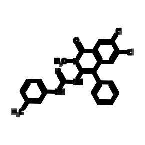 Cc1cccc(NC(=O)Nc2c(-c3ccccc3)c3cc(Cl)c(Cl)cc3c(=O)n2C)c1